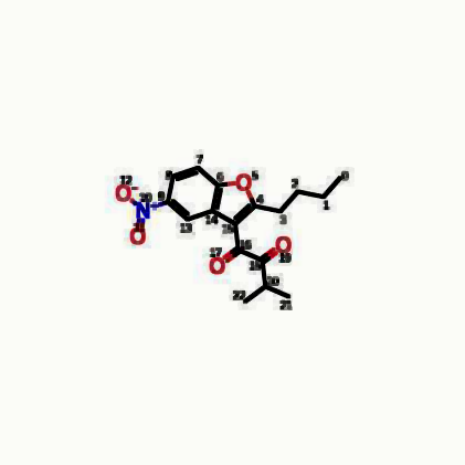 CCCCc1oc2ccc([N+](=O)[O-])cc2c1C(=O)C(=O)C(C)C